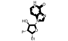 CC[C@H]1O[C@@H](n2cnc3c(=O)[nH]ccc32)[C@H](O)[C@H]1F